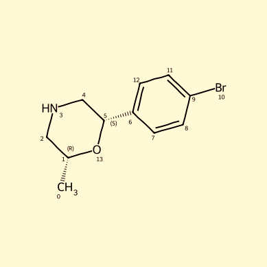 C[C@@H]1CNC[C@H](c2ccc(Br)cc2)O1